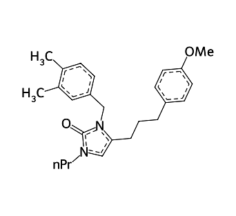 CCCn1cc(CCCc2ccc(OC)cc2)n(Cc2ccc(C)c(C)c2)c1=O